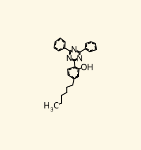 CCCCCCc1ccc(-c2nc(-c3ccccc3)nc(-c3ccccc3)n2)c(O)c1